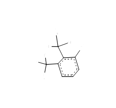 [2H]C([2H])(Br)c1c(F)cccc1C(F)(F)F